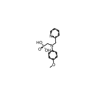 COc1ccc(N(Cc2ccccn2)CP(=O)(O)O)cc1